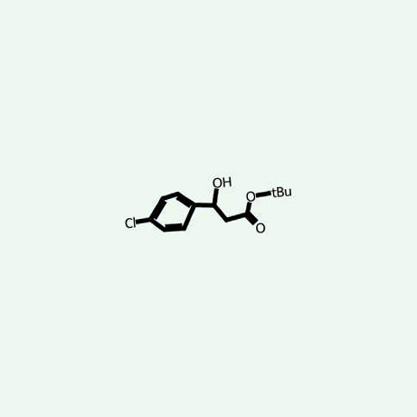 CC(C)(C)OC(=O)CC(O)c1ccc(Cl)cc1